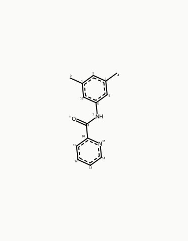 Cc1cc(C)cc(NC(=O)c2ccccn2)c1